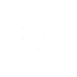 Cc1cc(-c2cc(N)ccc2N)cs1